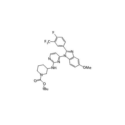 COc1ccc2c(c1)nc(-c1ccc(F)c(C(F)(F)F)c1)n2-c1ccnc(NC2CCCN(C(=O)OC(C)(C)C)C2)n1